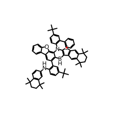 CC(C)(C)c1ccc(Nc2ccc3c(c2)C(C)(C)CCC3(C)C)c(-c2cc3c(oc4ccccc43)c3c2Bc2c(sc4cc5c(cc24)C(C)(C)CCC5(C)C)N3c2ccc(C(C)(C)C)cc2-c2ccccc2)c1